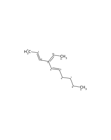 CC=CC(C=CCCCC)=CC